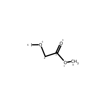 COC(=O)COI